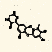 CC(=O)c1cc(Oc2c(Cl)cc(C3=NNCNC3=O)cc2Cl)nn(C)c1=O